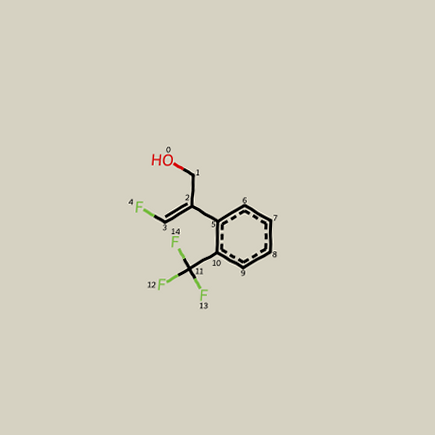 OCC(=CF)c1ccccc1C(F)(F)F